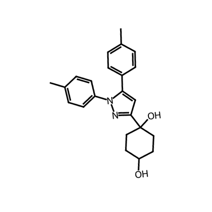 Cc1ccc(-c2cc(C3(O)CCC(O)CC3)nn2-c2ccc(C)cc2)cc1